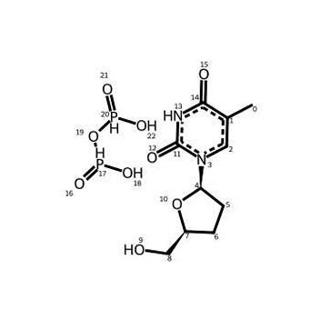 Cc1cn([C@H]2CC[C@@H](CO)O2)c(=O)[nH]c1=O.O=[PH](O)O[PH](=O)O